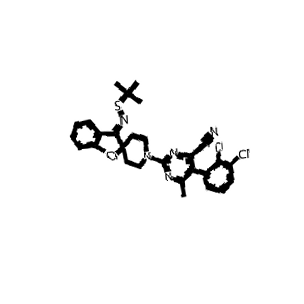 Cc1nc(N2CCC3(CC2)Oc2ccccc2/C3=N\SC(C)(C)C)nc(C#N)c1-c1cccc(Cl)c1Cl